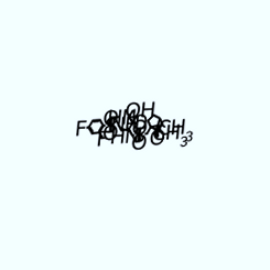 CC1(C)C2CCC1(CS(=O)(=O)NC(CNS(=O)(=O)c1ccc(F)cc1F)C(=O)NO)C(=O)C2